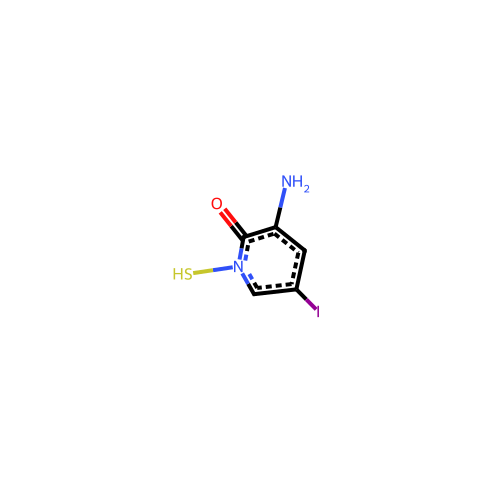 Nc1cc(I)cn(S)c1=O